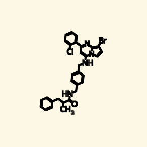 CC(Cc1ccccc1)C(=O)NCc1ccc(CNc2cc(-c3ccccc3Cl)nc3c(Br)ccn23)cc1